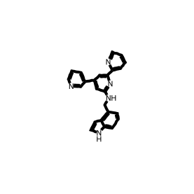 c1ccc(-c2cc(-c3cccnc3)cc(NCc3cccc4[nH]ccc34)n2)nc1